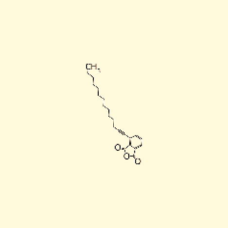 CCCCCCCCCCCCC#Cc1cccc2c1C(=O)OC2=O